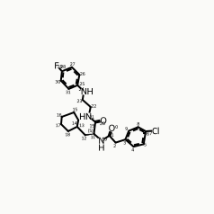 O=C(Cc1ccc(Cl)cc1)N[C@@H](CC1CCCCC1)C(=O)NCCNc1ccc(F)cc1